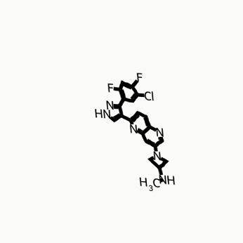 CNC1CN(c2cnc3ccc(-c4c[nH]nc4-c4cc(Cl)c(F)cc4F)nc3c2)C1